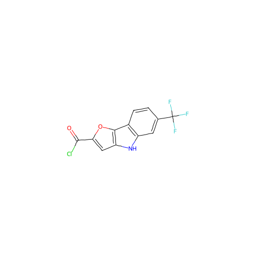 O=C(Cl)c1cc2[nH]c3cc(C(F)(F)F)ccc3c2o1